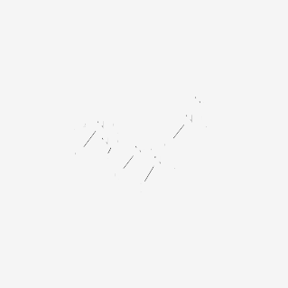 O=[N+]([O-])[O-].O=[N+]([O-])[O-].O=[N+]([O-])[O-].O=[N+]([O-])[O-].O=[N+]([O-])[O-].[C+4].[Na+]